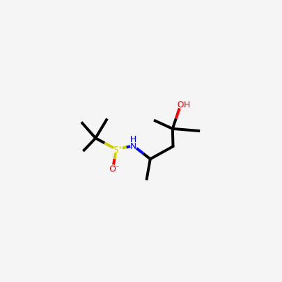 CC(CC(C)(C)O)N[S+]([O-])C(C)(C)C